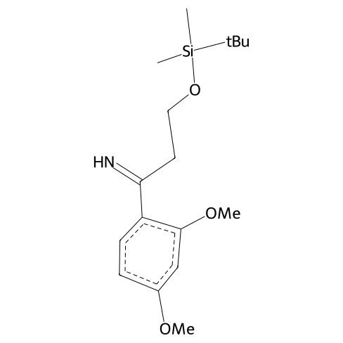 COc1ccc(C(=N)CCO[Si](C)(C)C(C)(C)C)c(OC)c1